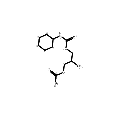 CC(COC(=O)NC1CCCCC1)COC(=O)C(C)C